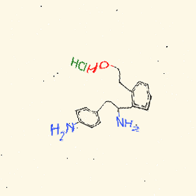 Cl.Nc1ccc(CC(N)c2ccccc2CCO)cc1